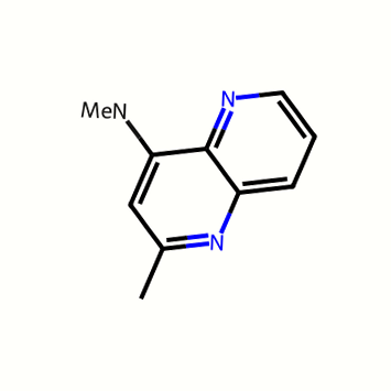 CNc1cc(C)nc2cccnc12